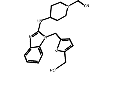 N#CCN1CCC(Nc2nc3ccccc3n2Cc2ccc(CO)o2)CC1